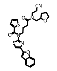 N#CCCN(CC1CCCO1)C(=O)CCCN(C(=O)c1cccs1)c1nc(-c2cc3ccccc3o2)cs1